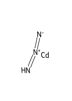 [Cd].[N-]=[N+]=N